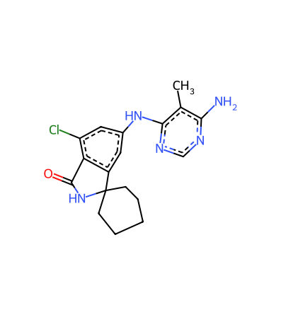 Cc1c(N)ncnc1Nc1cc(Cl)c2c(c1)C1(CCCCC1)NC2=O